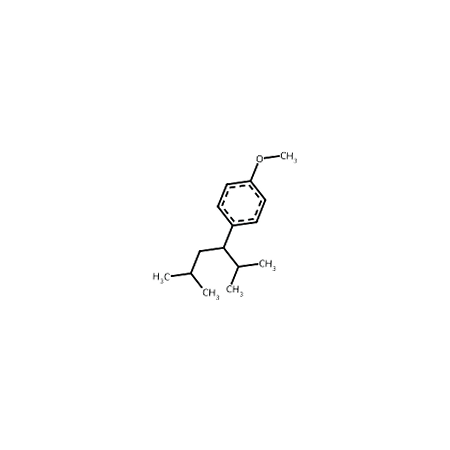 COc1ccc(C(CC(C)C)C(C)C)cc1